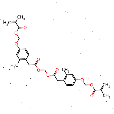 C=C(C)C(=O)OCOc1ccc(CC(=O)OCOC(=O)Cc2ccc(OCOC(=O)C(=C)C)cc2C)c(C)c1